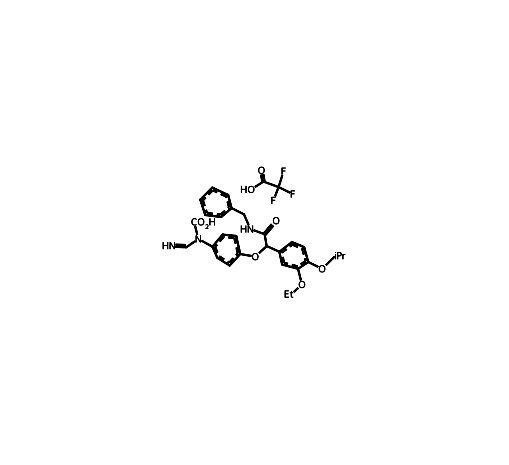 CCOc1cc(C(Oc2ccc(N(C=N)C(=O)O)cc2)C(=O)NCc2ccccc2)ccc1OC(C)C.O=C(O)C(F)(F)F